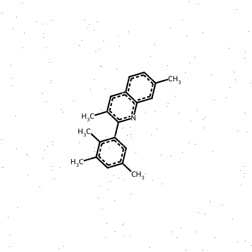 Cc1cc(C)c(C)c(-c2nc3cc(C)ccc3cc2C)c1